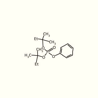 CCC(C)(C)OP(=O)(Oc1ccccc1)OC(C)(C)CC